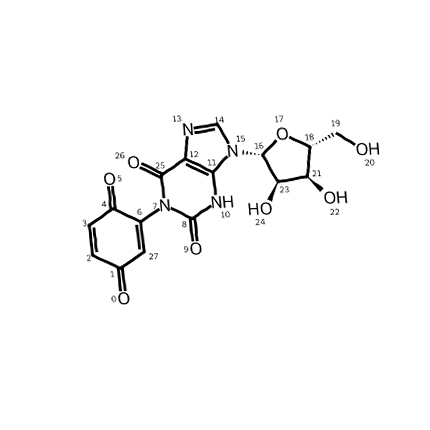 O=C1C=CC(=O)C(n2c(=O)[nH]c3c(ncn3[C@@H]3O[C@H](CO)[C@@H](O)[C@H]3O)c2=O)=C1